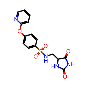 O=C1NC(=O)C(CNS(=O)(=O)c2ccc(Oc3ccccn3)cc2)N1